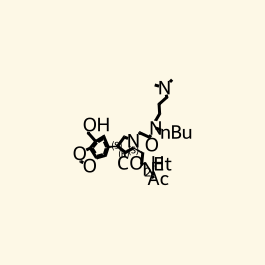 CCCCN(CCCCN(C)C)C(=O)CN1C[C@H](c2cc(CO)c3c(c2)OCO3)[C@@H](C(=O)O)[C@@H]1CCN(CC)C(C)=O